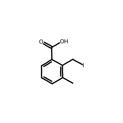 Cc1cccc(C(=O)O)c1CI